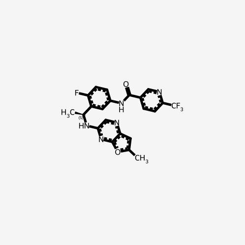 Cc1cc2ncc(N[C@@H](C)c3cc(NC(=O)c4ccc(C(F)(F)F)nc4)ccc3F)nc2o1